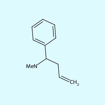 C=CCC(NC)c1ccccc1